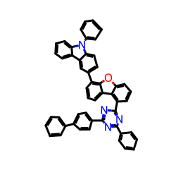 c1ccc(-c2ccc(-c3nc(-c4ccccc4)nc(-c4cccc5oc6c(-c7ccc8c(c7)c7ccccc7n8-c7ccccc7)cccc6c45)n3)cc2)cc1